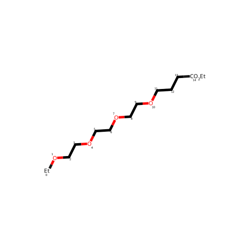 CCOCCOCCOCCOCCCC(=O)OCC